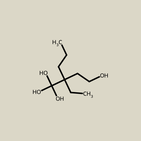 CCCC(CC)(CCO)C(O)(O)O